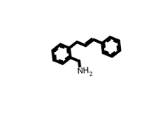 NCc1ccccc1C/C=C/c1ccccc1